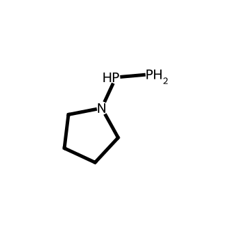 PPN1CCCC1